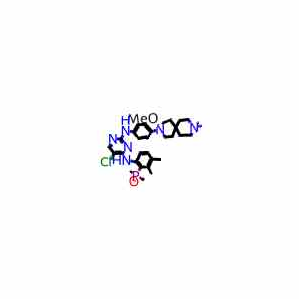 COc1cc(N2CCC3(CCN(C)CC3)CC2)ccc1Nc1ncc(Cl)c(Nc2ccc(C)c(C)c2P(C)(C)=O)n1